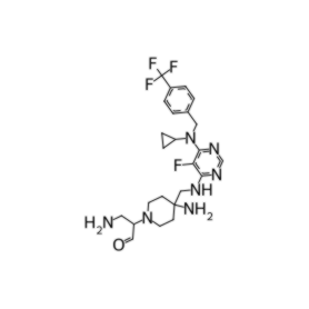 NCC(C=O)N1CCC(N)(CNc2ncnc(N(Cc3ccc(C(F)(F)F)cc3)C3CC3)c2F)CC1